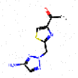 CC(=O)c1csc(Cn2ncc(N)n2)n1